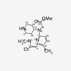 C=N/C(Cl)=C\c1nc(N(CC(=O)OC)C2CCNCC2)ccc1C